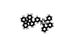 c1ccc(-c2nc(-c3cccc(-c4cccc5c4-c4ccccc4C5(c4ccccc4)c4ccccc4)c3)nc(-c3ccccc3-c3ccccc3)n2)cc1